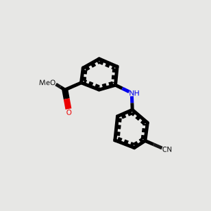 COC(=O)c1cccc(Nc2cccc(C#N)c2)c1